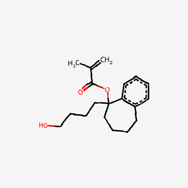 C=C(C)C(=O)OC1(CCCCO)CCCCc2ccccc21